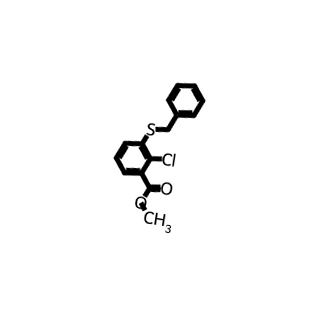 COC(=O)c1cccc(SCc2ccccc2)c1Cl